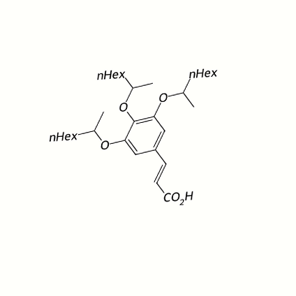 CCCCCCC(C)Oc1cc(/C=C/C(=O)O)cc(OC(C)CCCCCC)c1OC(C)CCCCCC